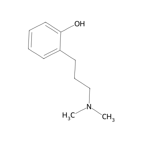 CN(C)CCCc1ccccc1O